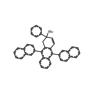 CC(C)(C)C1(c2ccccc2)C=Cc2c(c(-c3ccc4ccccc4c3)c3ccccc3c2-c2ccc3ccccc3c2)C1